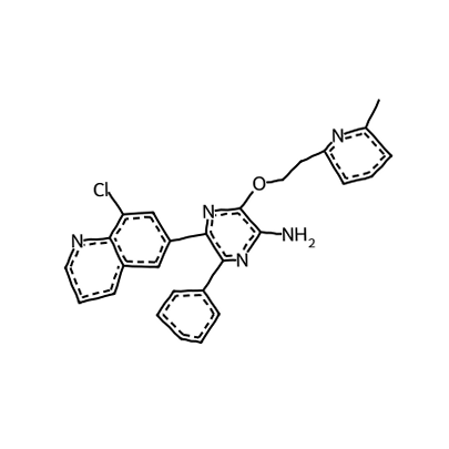 Cc1cccc(CCOc2nc(-c3cc(Cl)c4ncccc4c3)c(-c3ccccc3)nc2N)n1